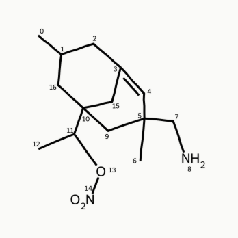 CC1CC2=CC(C)(CN)CC(C(C)O[N+](=O)[O-])(C2)C1